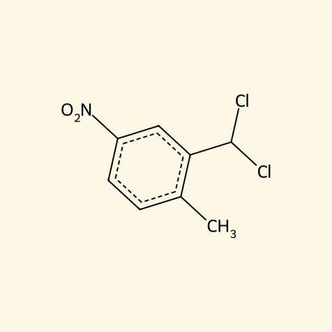 Cc1ccc([N+](=O)[O-])cc1C(Cl)Cl